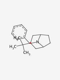 CC(C)(C)C1CC2CCC(C1)N2Cc1ccccc1